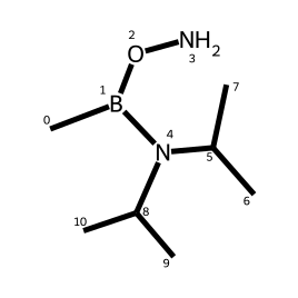 CB(ON)N(C(C)C)C(C)C